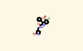 COc1cc(CNC(=O)C2=NC3=CC=C(Cl)C(=S(=O)=O)C3=C2c2ccccc2)ccn1